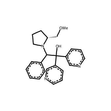 COC[C@H]1CCCN1C(c1ccccc1)C(O)(c1cccnc1)c1cccnc1